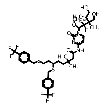 COC(n1ccc(NC(=O)CC(C)(C)CCC(CCSCc2ccc(C(F)(F)F)cc2)SCc2ccc(C(F)(F)F)cc2)nc1=O)C(F)(F)C(C)(CO)[C@H](C)CO